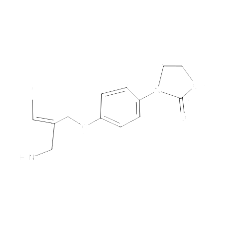 NC/C(=C/F)COc1ccc(N2CCOC2=O)cc1